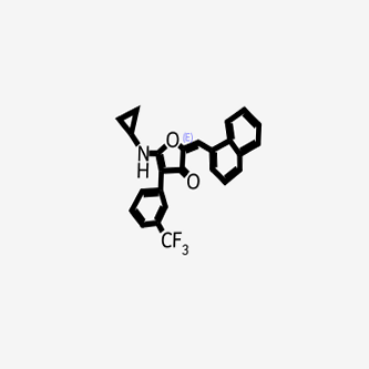 O=C1C(c2cccc(C(F)(F)F)c2)=C(NC2CC2)O/C1=C/c1cccc2ccccc12